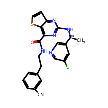 C[C@H](Nc1nc(C(=O)NCCc2cccc(C#N)c2)c2sccc2n1)c1cncc(F)c1